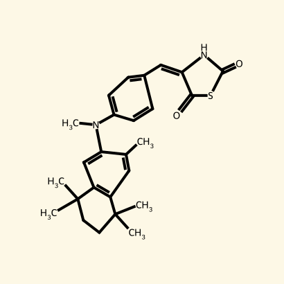 Cc1cc2c(cc1N(C)c1ccc(C=C3NC(=O)SC3=O)cc1)C(C)(C)CCC2(C)C